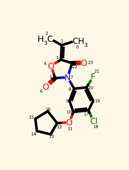 CC(C)=C1OC(=O)N(c2cc(OC3CCCC3)c(Cl)cc2F)C1=O